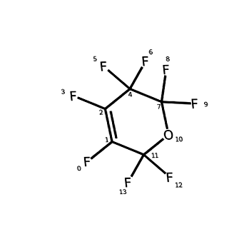 FC1=C(F)C(F)(F)C(F)(F)OC1(F)F